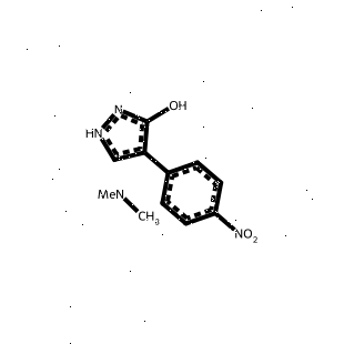 CNC.O=[N+]([O-])c1ccc(-c2c[nH]nc2O)cc1